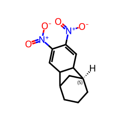 O=[N+]([O-])C1=CC2C3CCC[C@@H](C3)C2C=C1[N+](=O)[O-]